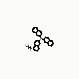 [Cl][Ni][Cl].c1ccc2cc(P(c3ccc4ccccc4c3)c3ccc4ccccc4c3)ccc2c1